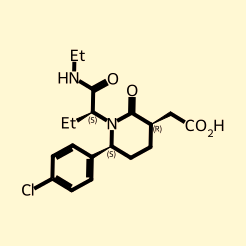 CCNC(=O)[C@H](CC)N1C(=O)[C@@H](CC(=O)O)CC[C@H]1c1ccc(Cl)cc1